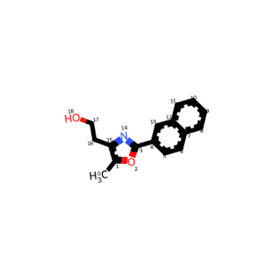 Cc1oc(-c2ccc3ccccc3c2)nc1CCO